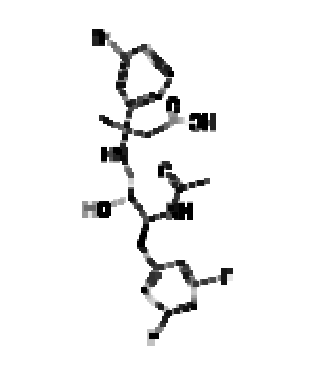 CC(=O)N[C@@H](Cc1cc(F)cc(F)c1)[C@H](O)CNC(C)(CC(=O)O)c1cccc(Br)c1